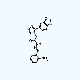 O=C(Cn1nnnc1-c1ccc2c(c1)OCO2)NN=Cc1ccccc1[N+](=O)[O-]